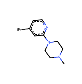 CC(C)c1ccnc(N2CCN(C)CC2)c1